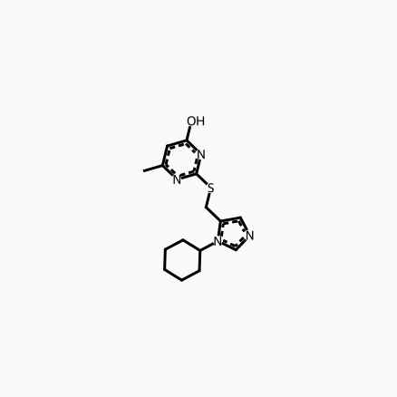 Cc1cc(O)nc(SCc2cncn2C2CCCCC2)n1